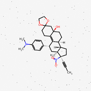 CC#C[C@@]1([N+](=O)[O-])CC[C@H]2[C@@H]3CC[C@@]4(O)CC5(CCC4=C3[C@@H](c3ccc(N(C)C)cc3)C[C@@]21C)OCCO5